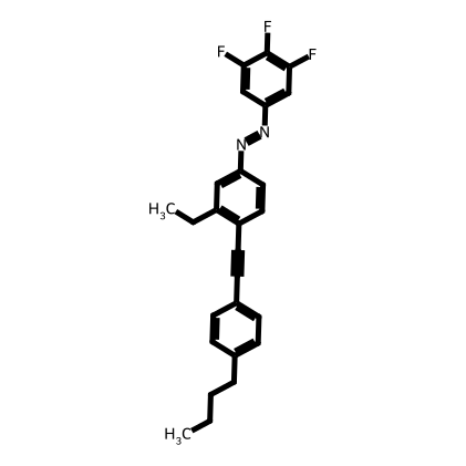 CCCCc1ccc(C#Cc2ccc(N=Nc3cc(F)c(F)c(F)c3)cc2CC)cc1